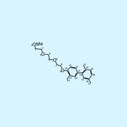 COCCOCCOCCOc1ccc(-c2cc(C)ccc2C)cc1C